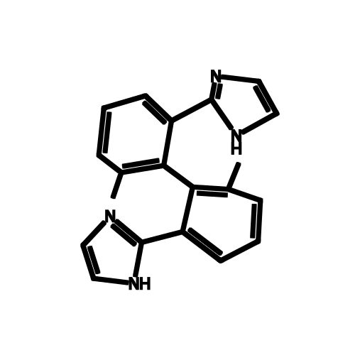 Cc1cccc(-c2ncc[nH]2)c1-c1c(C)cccc1-c1ncc[nH]1